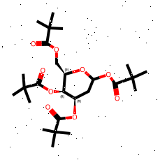 CC(C)(C)C(=O)OC[C@H]1OC(OC(=O)C(C)(C)C)C[C@@H](OC(=O)C(C)(C)C)[C@H]1OC(=O)C(C)(C)C